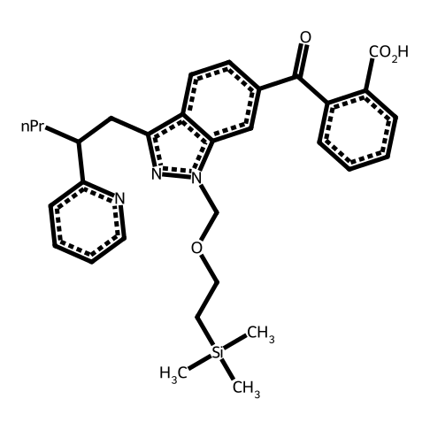 CCCC(Cc1nn(COCC[Si](C)(C)C)c2cc(C(=O)c3ccccc3C(=O)O)ccc12)c1ccccn1